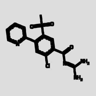 CS(=O)(=O)c1cc(C(=O)N=C(N)N)c(Cl)cc1-c1ccccn1